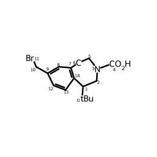 CC(C)(C)C1CN(C(=O)O)CCc2cc(CBr)ccc21